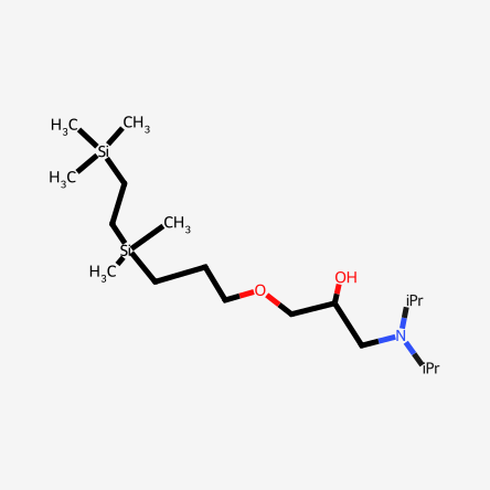 CC(C)N(CC(O)COCCC[Si](C)(C)CC[Si](C)(C)C)C(C)C